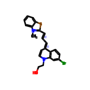 C[n+]1c(/C=C/C=C2\C=CN(CCO)c3cc(Br)ccc32)sc2ccccc21